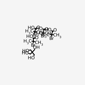 CC(C)(Br)C(=O)O.CC(C)(Br)C(=O)O.CC(C)(Br)C(=O)O.CC(C)(Br)C(=O)O.OCC(CO)(CO)CO